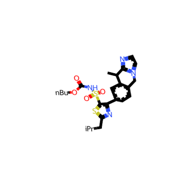 CCCCOC(=O)NS(=O)(=O)c1sc(CC(C)C)nc1-c1ccc2c(c1)C(C)c1nccn1C2